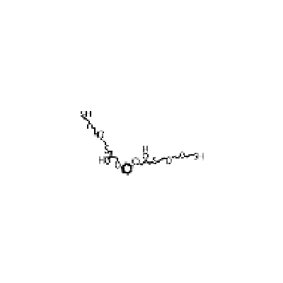 OC(COc1cccc(OCC(O)CSCCOCCOCCS)c1)CSCCOCCOCCS